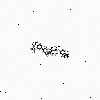 C=C(c1ccc(-c2ccc(S(=O)(=O)CC3CC[C@@H](Nc4ccc(C(F)(F)F)cc4)[C@@H](O)C3)cc2)cn1)C(C)C1CCC1